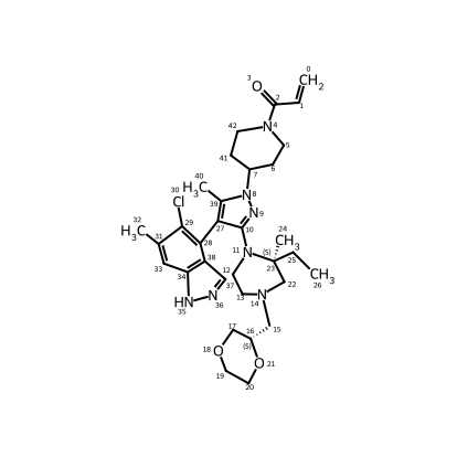 C=CC(=O)N1CCC(n2nc(N3CCN(C[C@H]4COCCO4)C[C@]3(C)CC)c(-c3c(Cl)c(C)cc4[nH]ncc34)c2C)CC1